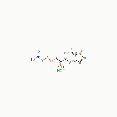 CCN(CC)CCOCC(O)c1cc(F)c2sccc2c1.Cl